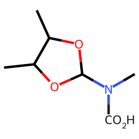 CC1OC(N(C)C(=O)O)OC1C